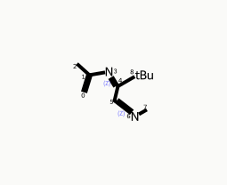 C=C(C)/N=C(\C=N/C)C(C)(C)C